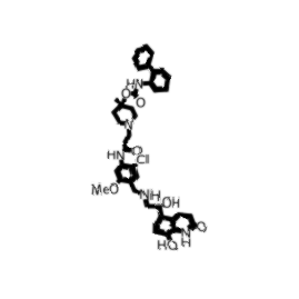 COc1cc(NC(=O)CCN2CCC(C)(OC(=O)Nc3ccccc3-c3ccccc3)CC2)c(Cl)cc1CNC[C@H](O)c1ccc(O)c2[nH]c(=O)ccc12